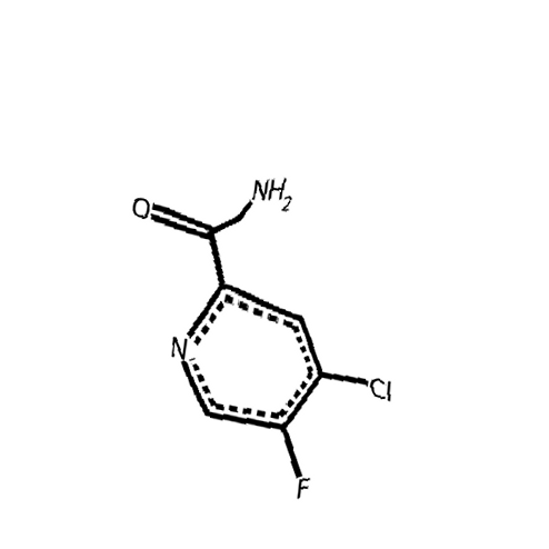 NC(=O)c1cc(Cl)c(F)cn1